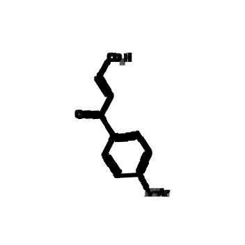 CC(=O)Nc1ccc(C(=O)C=CC(=O)O)cc1